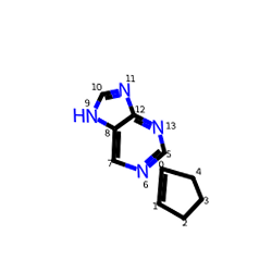 C1=CCCC1.c1ncc2[nH]cnc2n1